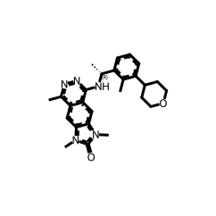 Cc1c(C2CCOCC2)cccc1[C@@H](C)Nc1nnc(C)c2cc3c(cc12)n(C)c(=O)n3C